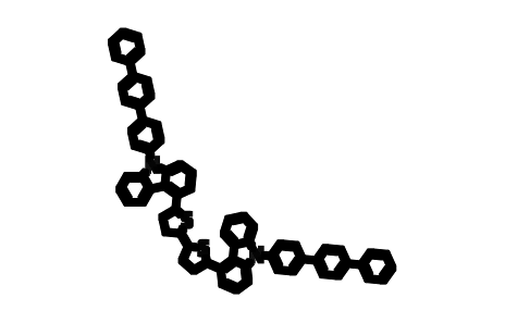 c1ccc(-c2ccc(-c3ccc(-n4c5ccccc5c5c(C6CCC(C7CCC(c8cccc9c8c8ccccc8n9-c8ccc(-c9ccc(-c%10ccccc%10)cc9)cc8)S7)S6)cccc54)cc3)cc2)cc1